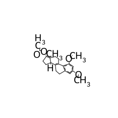 COc1cc2c(c(OC)c1)C1=C(CC2)[C@@H]2CC[C@H](OC(C)=O)[C@@]2(C)CC1